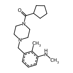 CNc1cccc(CN2CCN(C(=O)C3CCCC3)CC2)c1C